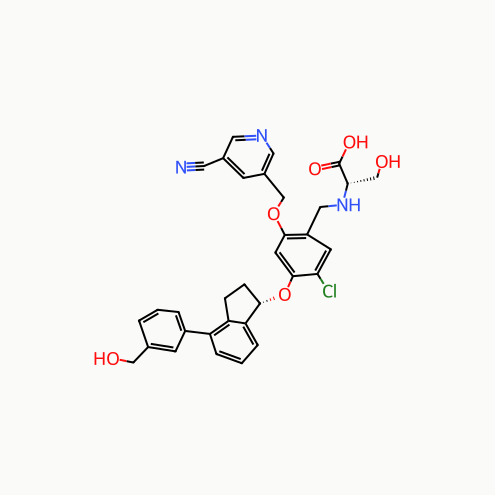 N#Cc1cncc(COc2cc(O[C@H]3CCc4c(-c5cccc(CO)c5)cccc43)c(Cl)cc2CN[C@@H](CO)C(=O)O)c1